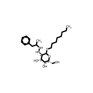 CCCCCCCCOC1O[C@H](CO)[C@H](O)[C@H](O)[C@H]1NNC(C)Cc1ccccc1